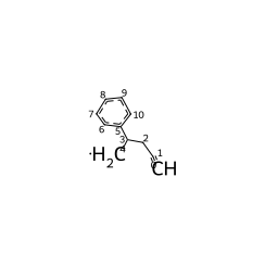 C#CCC([CH2])c1ccccc1